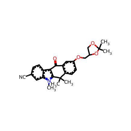 Cn1c2c(c3ccc(C#N)cc31)C(=O)c1cc(OCC3COC(C)(C)O3)ccc1C2(C)C